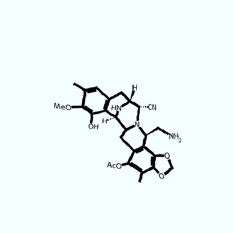 COc1c(C)cc2c(c1O)[C@H]1N[C@H](C2)[C@H](C#N)N2C1Cc1c(OC(C)=O)c(C)c3c(c1[C@@H]2CN)OCO3